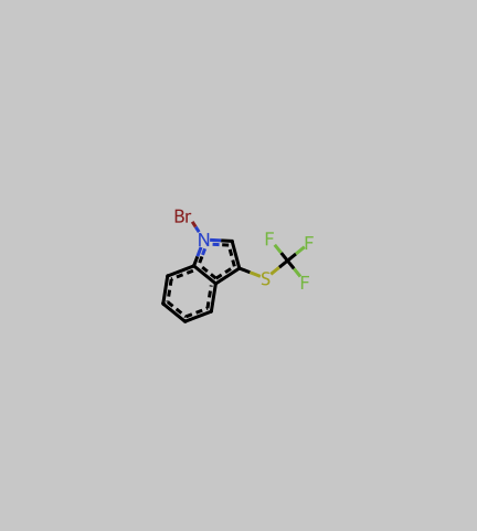 FC(F)(F)Sc1cn(Br)c2ccccc12